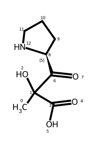 CC(O)(C(=O)O)C(=O)[C@@H]1CCCN1